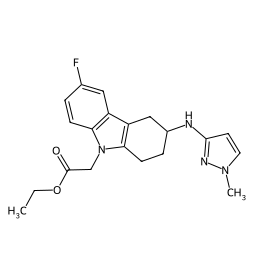 CCOC(=O)Cn1c2c(c3cc(F)ccc31)CC(Nc1ccn(C)n1)CC2